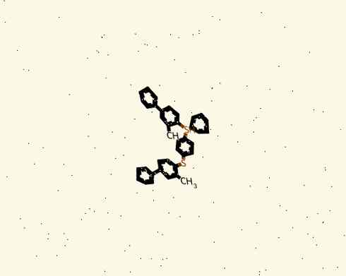 Cc1cc(-c2ccccc2)ccc1Sc1ccc([SH](c2ccccc2)c2ccc(-c3ccccc3)cc2C)cc1